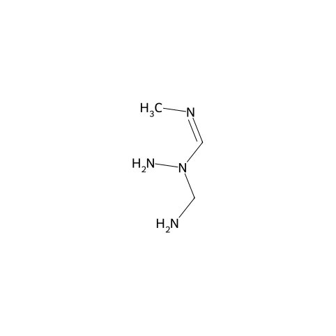 C/N=C\N(N)CN